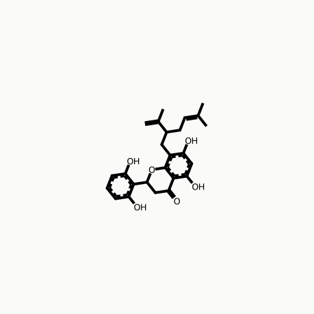 C=C(C)C(CC=C(C)C)Cc1c(O)cc(O)c2c1OC(c1c(O)cccc1O)CC2=O